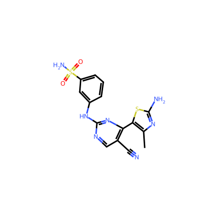 Cc1nc(N)sc1-c1nc(Nc2cccc(S(N)(=O)=O)c2)ncc1C#N